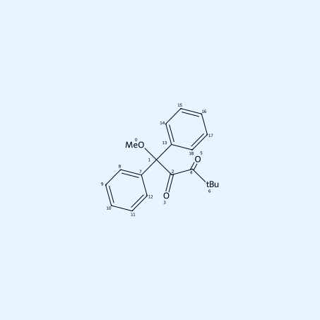 COC(C(=O)C(=O)C(C)(C)C)(c1ccccc1)c1ccccc1